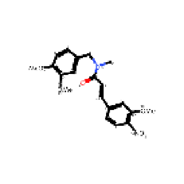 COc1ccc(CN(C)C(=O)C=Cc2ccc([N+](=O)[O-])c(OC)c2)cc1OC